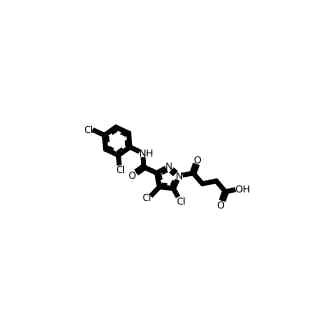 O=C(O)CCC(=O)n1nc(C(=O)Nc2ccc(Cl)cc2Cl)c(Cl)c1Cl